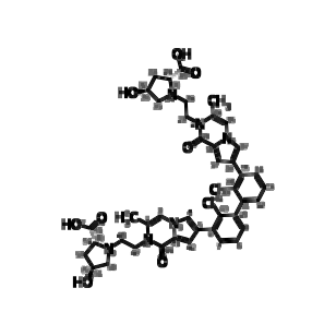 Cc1cn2cc(-c3cccc(-c4cccc(-c5cc6c(=O)n(CCN7C[C@@H](O)C[C@@H]7C(=O)O)c(C)cn6c5)c4Cl)c3Cl)cc2c(=O)n1CCN1C[C@@H](O)C[C@@H]1C(=O)O